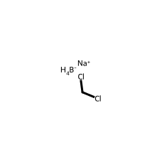 ClCCl.[BH4-].[Na+]